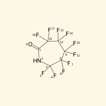 O=C1NC(F)(F)C(F)(F)C(F)(F)C(F)(F)C1(F)F